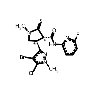 CN1C[C@H](c2nn(C)c(Cl)c2Br)[C@@H](C(=O)Nc2cccc(F)n2)C1=S